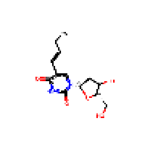 N#CCC=Cc1cn([C@@H]2CC(O)[C@H](CO)O2)c(=O)[nH]c1=O